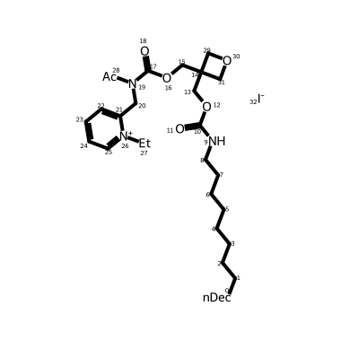 CCCCCCCCCCCCCCCCCCNC(=O)OCC1(COC(=O)N(Cc2cccc[n+]2CC)C(C)=O)COC1.[I-]